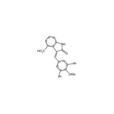 COc1c(C(C)C)cc(/C=C2\C(=O)Nc3cccc(C(=O)O)c32)cc1C(C)C